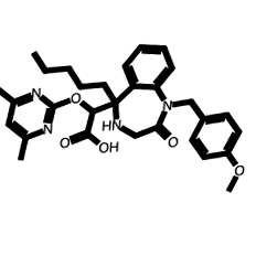 CCCCCC1(C(Oc2nc(C)cc(C)n2)C(=O)O)NCC(=O)N(Cc2ccc(OC)cc2)c2ccccc21